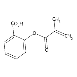 C=C(C)C(=O)Oc1ccccc1C(=O)O